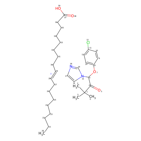 CC(C)(C)C(=O)C(Oc1ccc(Cl)cc1)n1ccnc1.CCCCCCCC/C=C/CCCCCCCC(=O)O